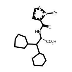 CC(C)n1nccc1C(=O)N[C@H](C(=O)O)C(C1CCCCC1)C1CCCCC1